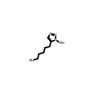 CCCCn1nncc1CCCCCC(C)CC